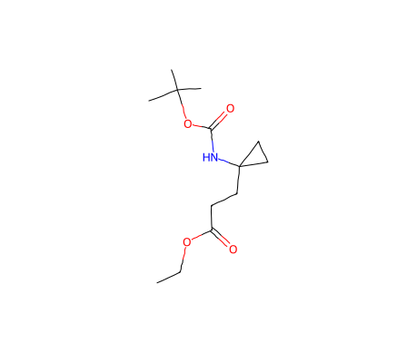 CCOC(=O)CCC1(NC(=O)OC(C)(C)C)CC1